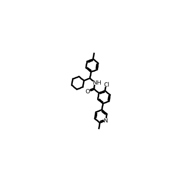 Cc1ccc(C(NC(=O)c2cc(-c3ccc(C)nc3)ccc2Cl)C2CCCCC2)cc1